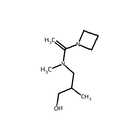 C=C(N(C)CC(C)CO)N1CCC1